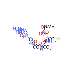 CNC(=O)CCN1C(=O)CC(SCC(NC(=O)CCC(NC(=O)CCC(NC(=O)c2ccc(NCc3cnc4nc(N)[nH]c(=O)c4n3)cc2)C(=O)O)C(=O)O)C(=O)O)C1=O